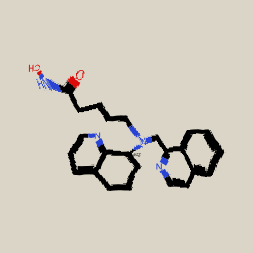 O=C(CCCCN(Cc1nccc2ccccc12)[C@H]1CCCc2cccnc21)NO